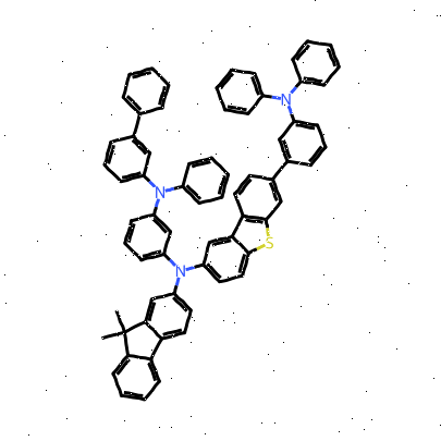 CC1(C)c2ccccc2-c2ccc(N(c3cccc(N(c4ccccc4)c4cccc(-c5ccccc5)c4)c3)c3ccc4sc5cc(-c6cccc(N(c7ccccc7)c7ccccc7)c6)ccc5c4c3)cc21